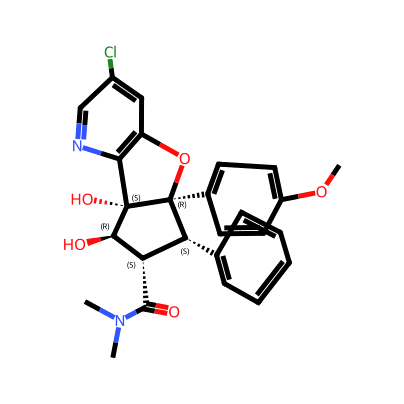 COc1ccc([C@@]23Oc4cc(Cl)cnc4[C@]2(O)[C@H](O)[C@@H](C(=O)N(C)C)[C@H]3c2ccccc2)cc1